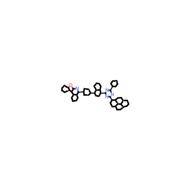 c1ccc(-c2nc(-c3ccc(-c4ccc(-c5nc6oc7ccccc7c6c6ccccc56)cc4)c4ccccc34)nc(-c3ccc4ccc5cccc6ccc3c4c56)n2)cc1